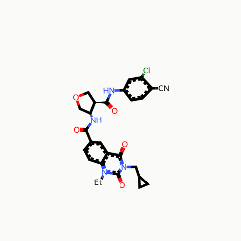 CCn1c(=O)n(CC2CC2)c(=O)c2cc(C(=O)N[C@H]3COC[C@H]3C(=O)Nc3ccc(C#N)c(Cl)c3)ccc21